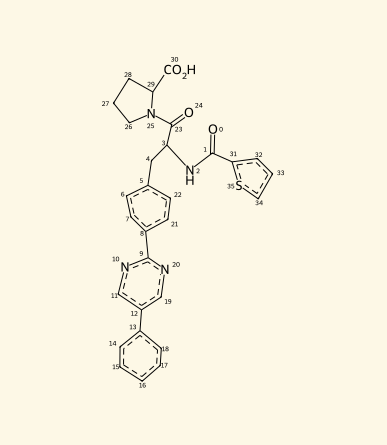 O=C(NC(Cc1ccc(-c2ncc(-c3ccccc3)cn2)cc1)C(=O)N1CCCC1C(=O)O)c1cccs1